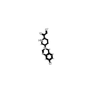 O=CC(=O)C1CCC(N2C=Nc3cc(Cl)ccc3C2)CN1